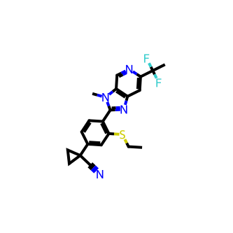 CCSc1cc(C2(C#N)CC2)ccc1-c1nc2cc(C(C)(F)F)ncc2n1C